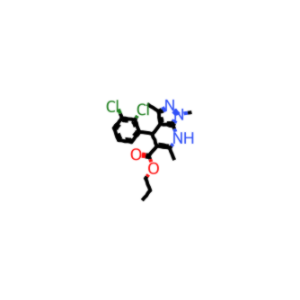 CCCOC(=O)C1=C(C)Nc2c(c(C)nn2C)C1c1cccc(Cl)c1Cl